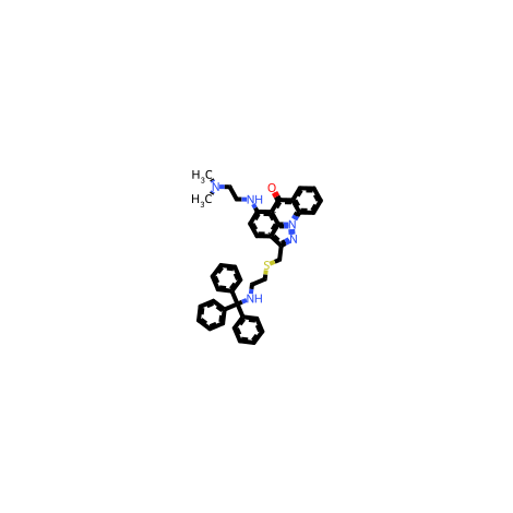 CN(C)CCNc1ccc2c(CSCCNC(c3ccccc3)(c3ccccc3)c3ccccc3)nn3c4ccccc4c(=O)c1c23